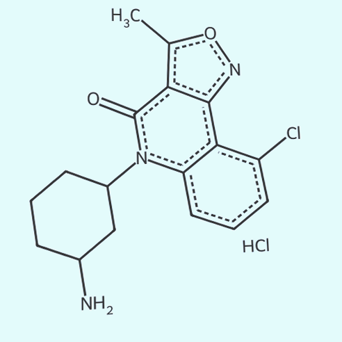 Cc1onc2c1c(=O)n(C1CCCC(N)C1)c1cccc(Cl)c21.Cl